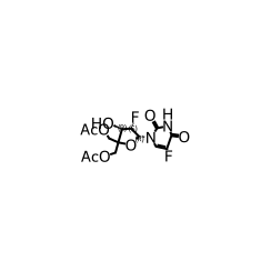 CC(=O)OCC1(COC(C)=O)O[C@@H](n2cc(F)c(=O)[nH]c2=O)[C@@H](F)[C@@H]1O